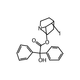 O=C(OC1C(I)C2CCN1CC2)C(O)(c1ccccc1)c1ccccc1